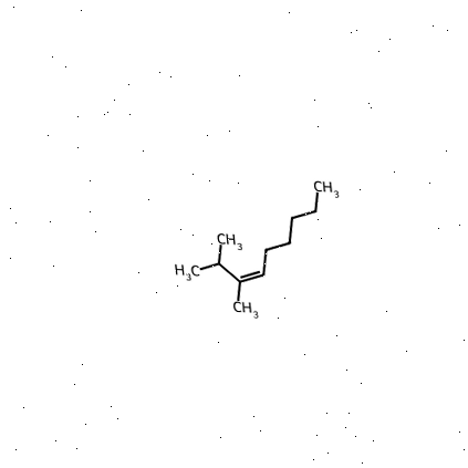 CCCCCC=C(C)C(C)C